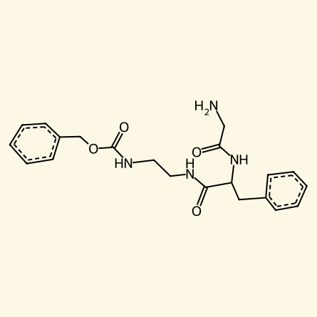 NCC(=O)NC(Cc1ccccc1)C(=O)NCCNC(=O)OCc1ccccc1